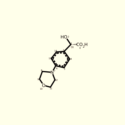 O=C(O)[C@@H](O)c1ccc(N2CCOCC2)cc1